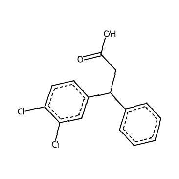 O=C(O)CC(c1ccccc1)c1ccc(Cl)c(Cl)c1